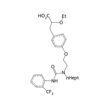 CCCCCCCN(CCOc1ccc(CC(OCC)C(=O)O)cc1)C(=O)Nc1ccccc1C(F)(F)F